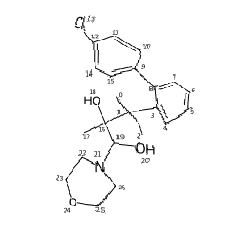 CC(C)(c1ccccc1-c1ccc(Cl)cc1)C(C)(O)C(O)N1CCOCC1